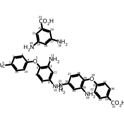 CC(=O)c1ccc(Oc2ccc(N)cc2N)cc1.Nc1cc(N)cc(C(=O)O)c1.Nc1ccc(Oc2ccc(C(=O)O)cc2)c(N)c1